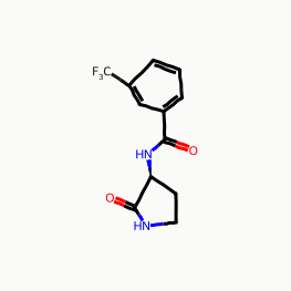 O=C(N[C@H]1CCNC1=O)c1cccc(C(F)(F)F)c1